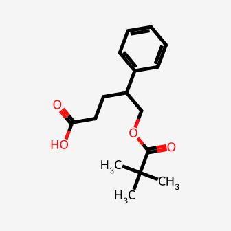 CC(C)(C)C(=O)OCC(CCC(=O)O)c1ccccc1